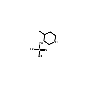 CC1CCNCC1.O=P(O)(O)O